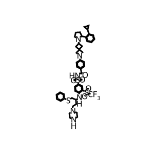 O=C(NS(=O)(=O)c1ccc(NC(CCN2CCNCC2)CSc2ccccc2)c(S(=O)(=O)C(F)(F)F)c1)c1ccc(N2CC3(CC(N4CCCC4c4ccccc4C4CC4)C3)C2)cc1